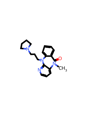 CN1C(=O)c2ccccc2N(CCCN2CCCC2)c2ncccc21